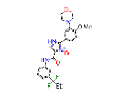 CCC(F)(F)c1cccc(NC(=O)c2c(C)[nH]c(-c3ccc(OC)c(N4CCOCC4)c3)[n+]2[O-])c1